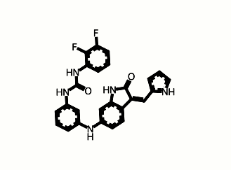 O=C(Nc1cccc(Nc2ccc3c(c2)NC(=O)C3=Cc2ccc[nH]2)c1)Nc1cccc(F)c1F